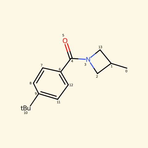 CC1CN(C(=O)c2ccc(C(C)(C)C)cc2)C1